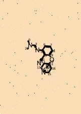 CN(C)/C=N/c1cccc(OC23CCN(CC2)CC3)c1C#N